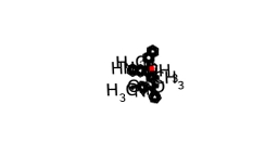 COc1ccc(N(C(=O)c2cc(-c3cc4c(cc3C(=O)N3Cc5ccccc5C[C@H]3C)CNCC4)n(C)c2C)c2ccccc2)cn1